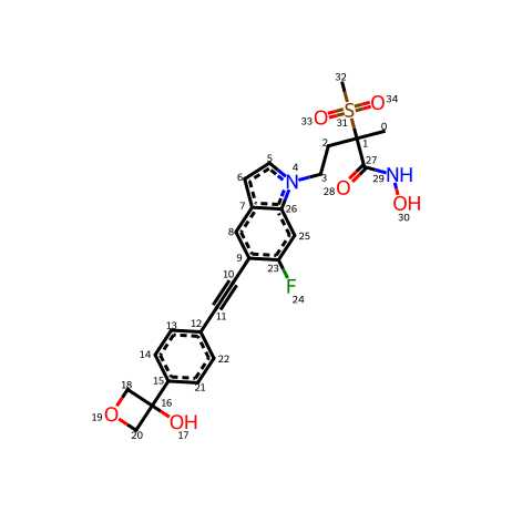 CC(CCn1ccc2cc(C#Cc3ccc(C4(O)COC4)cc3)c(F)cc21)(C(=O)NO)S(C)(=O)=O